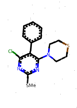 CSc1nc(Cl)c(-c2ccccc2)c(N2CCSCC2)n1